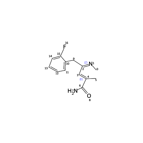 C/N=C(\C=C(/C)C(N)=O)Cc1ccccc1F